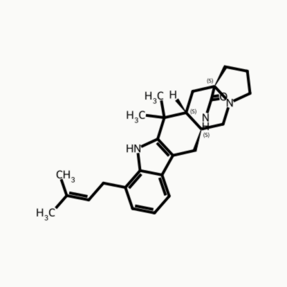 CC(C)=CCc1cccc2c3c([nH]c12)C(C)(C)[C@@H]1C[C@]24CCCN2C[C@@]1(C3)NC4=O